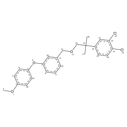 COc1ccc(Oc2cccc(COCC(C)(C)c3ccc(Cl)c(Cl)c3)c2)cc1